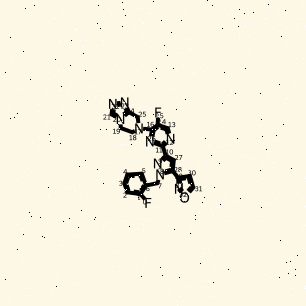 Fc1ccccc1Cn1nc(-c2ncc(F)c(N3CCn4cnnc4C3)n2)cc1-c1ccon1